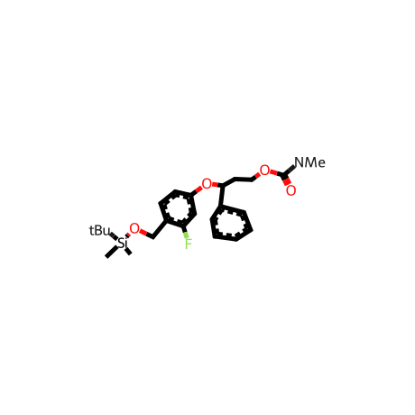 CNC(=O)OCCC(Oc1ccc(CO[Si](C)(C)C(C)(C)C)c(F)c1)c1ccccc1